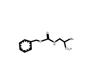 CCC(C)C(CNC(=O)OCc1ccccc1)C(=O)O